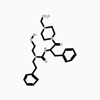 CC(=O)SCCN(CCc1ccccc1)C(=O)NC(Cc1ccccc1)C(=O)N1CCN(CC(=O)O)CC1